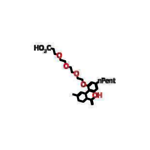 C=C(C)C1CCC(C)=CC1c1c(O)cc(CCCCC)cc1OCCOCCOCCOCCC(=O)O